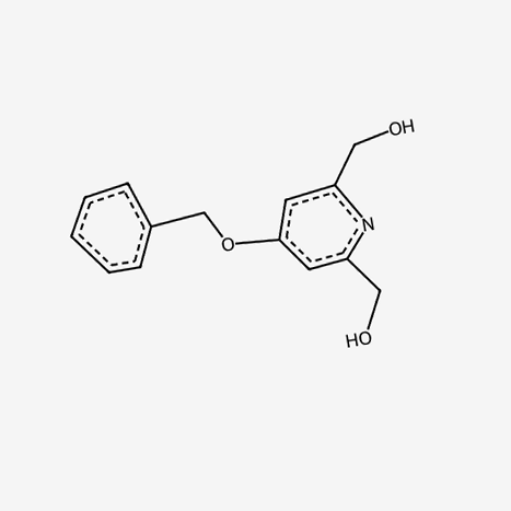 OCc1cc(OCc2ccccc2)cc(CO)n1